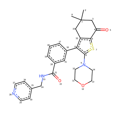 CC1(C)CC(=O)c2sc(N3CCOCC3)c(-c3cccc(C(=O)NCc4ccncc4)c3)c2C1